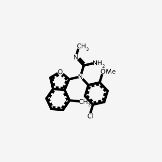 CN=C(N)N(c1cc(Cl)ccc1OC)c1occ2cccc(C)c12